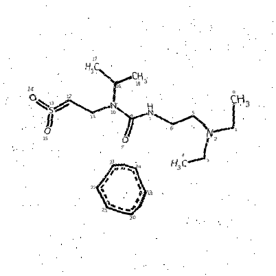 CCN(CC)CCNC(=O)N(CC=S(=O)=O)C(C)C.c1ccccc1